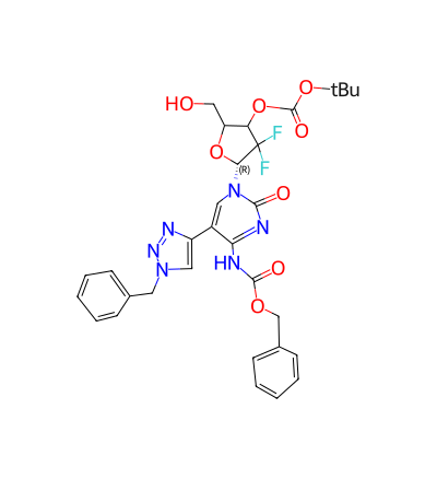 CC(C)(C)OC(=O)OC1C(CO)O[C@@H](n2cc(-c3cn(Cc4ccccc4)nn3)c(NC(=O)OCc3ccccc3)nc2=O)C1(F)F